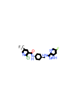 O=C(N[C@H]1CC[C@H](CNc2n[nH]c3cc(F)cnc23)CC1)c1cc(C(F)(F)F)cnc1Cl